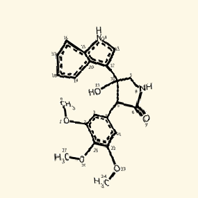 COc1cc(C2C(=O)NCC2(O)c2c[nH]c3ccccc23)cc(OC)c1OC